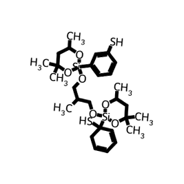 CC(CO[Si]1(c2cccc(S)c2)OC(C)CC(C)(C)O1)CO[Si]1(C2(S)C=CC=CC2)OC(C)CC(C)(C)O1